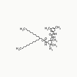 C=C1C=C(C)CC(NC(=O)NCC2(C)CC(NC(=O)OCC(CCCCCCCCCC)CCCCCCCCCCCC)CC(C)(C)C2)=N1